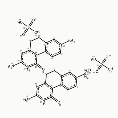 Nc1ccc2c(c1)CCc1nc(N)[nH]c(=O)c1-2.Nc1ccc2c(c1)CCc1nc(N)[nH]c(=O)c1-2.O.O=S(=O)(O)O.O=S(=O)(O)O